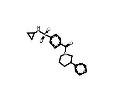 O=C(c1ccc(S(=O)(=O)NC2CC2)cc1)N1CCCC(c2ccccc2)C1